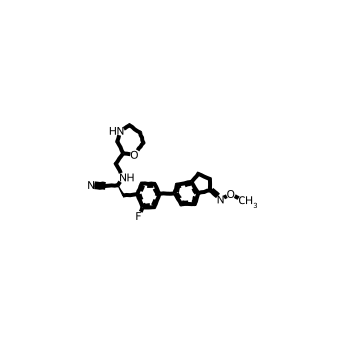 CO/N=C1\CCc2cc(-c3ccc(C[C@@H](C#N)NCC4CNCCCO4)c(F)c3)ccc21